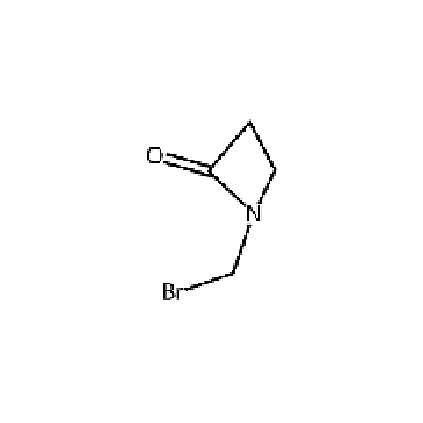 O=C1CCN1CBr